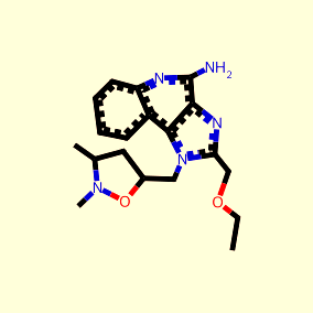 CCOCc1nc2c(N)nc3ccccc3c2n1CC1CC(C)N(C)O1